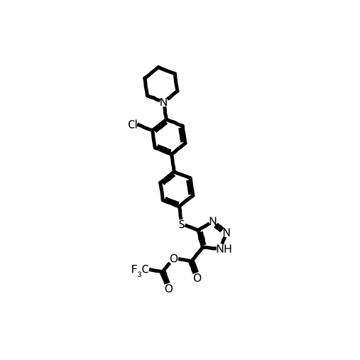 O=C(OC(=O)C(F)(F)F)c1[nH]nnc1Sc1ccc(-c2ccc(N3CCCCC3)c(Cl)c2)cc1